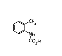 O=C(O)Nc1ccccc1C(F)(F)F